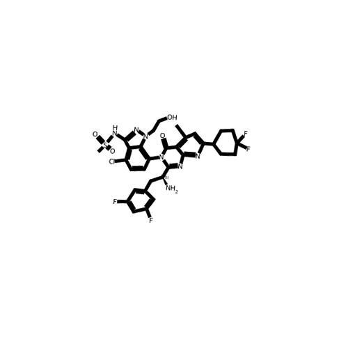 Cc1cc(C2CCC(F)(F)CC2)nc2nc([C@@H](N)Cc3cc(F)cc(F)c3)n(-c3ccc(Cl)c4c(NS(C)(=O)=O)nn(CCO)c34)c(=O)c12